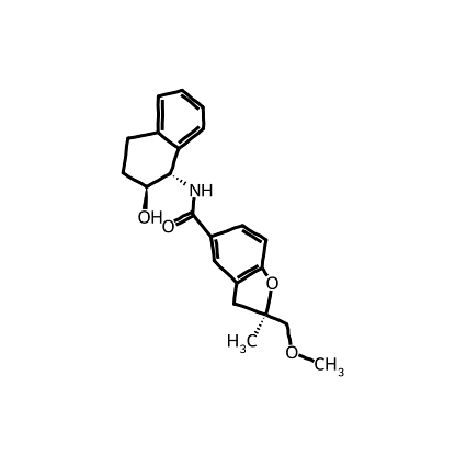 COC[C@@]1(C)Cc2cc(C(=O)N[C@H]3c4ccccc4CC[C@@H]3O)ccc2O1